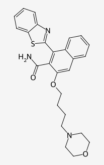 NC(=O)c1c(OCCCCN2CCOCC2)cc2ccccc2c1-c1nc2ccccc2s1